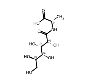 C[C@H](NC(=O)[C@H](O)[C@@H](O)[C@H](O)[C@H](O)CO)C(=O)O